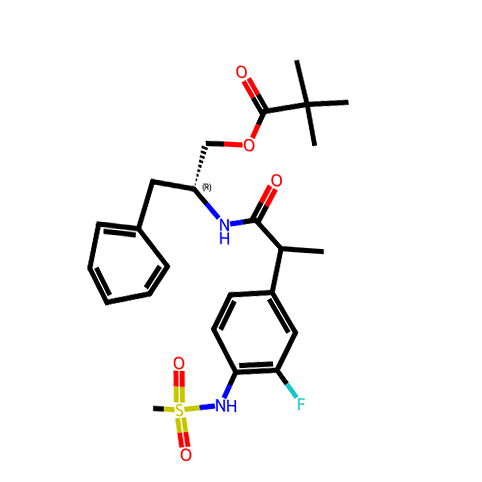 CC(C(=O)N[C@@H](COC(=O)C(C)(C)C)Cc1ccccc1)c1ccc(NS(C)(=O)=O)c(F)c1